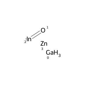 [GaH3].[O]=[In].[Zn]